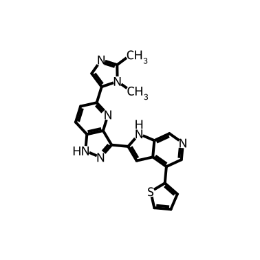 Cc1ncc(-c2ccc3[nH]nc(-c4cc5c(-c6cccs6)cncc5[nH]4)c3n2)n1C